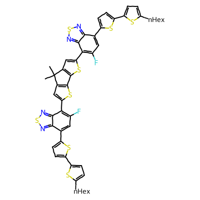 CCCCCCc1ccc(-c2ccc(-c3cc(F)c(-c4cc5c(s4)-c4sc(-c6c(F)cc(-c7ccc(-c8ccc(CCCCCC)s8)s7)c7nsnc67)cc4C5(C)C)c4nsnc34)s2)s1